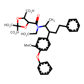 COc1cc(C(CCc2ccccc2)C(C)N(CC(=O)O)C(=O)C2OC(C(=O)O)(C(=O)O)OC2C(=O)O)ccc1Oc1ccccc1